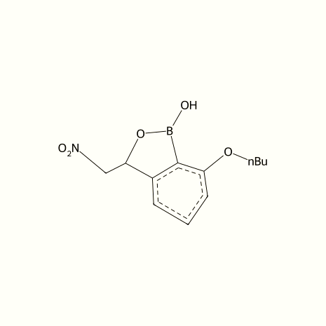 CCCCOc1cccc2c1B(O)OC2C[N+](=O)[O-]